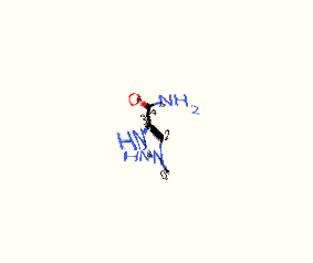 CN1C=C(C(N)=O)NN1